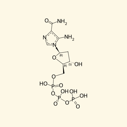 NC(=O)c1ncn([C@H]2C[C@H](O)[C@@H](COP(=O)(O)OP(=O)(O)OP(=O)(O)O)O2)c1N